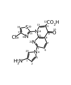 Nc1ccn(-c2ccc3c(=O)c(C(=O)O)cn(-c4nc(Cl)cs4)c3n2)c1